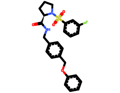 O=C(NCc1ccc(COc2ccccc2)cc1)[C@@H]1CCCN1S(=O)(=O)c1cccc(F)c1